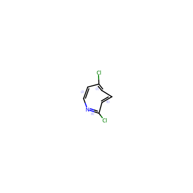 ClC1=C\C=C\C(Cl)=N/C=C\1